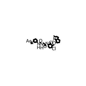 CC(=O)N(C)c1cccc(NC(=O)NCC(=O)N(C)c2ccc(Cl)c(COc3cccc4ccc(C)nc34)c2Cl)c1